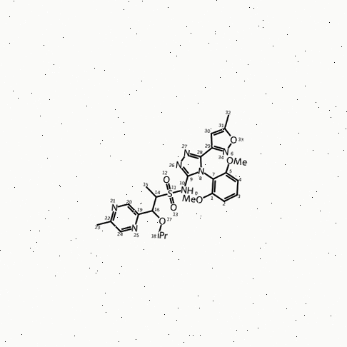 COc1cccc(OC)c1-n1c(NS(=O)(=O)C(C)C(OC(C)C)c2cnc(C)cn2)nnc1-c1cc(C)on1